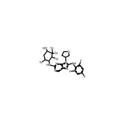 [2H]C1CC(O)C([2H])([2H])C([2H])C1Nc1ncc2nc(Nc3c(F)cc(F)cc3F)n(C3CCOC3)c2n1